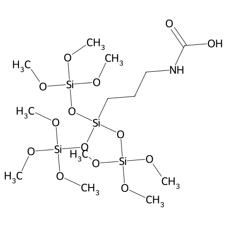 CO[Si](OC)(OC)O[Si](CCCNC(=O)O)(O[Si](OC)(OC)OC)O[Si](OC)(OC)OC